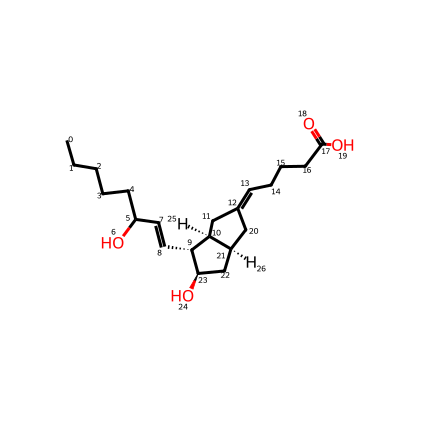 CCCCCC(O)C=C[C@@H]1[C@H]2CC(=CCCCC(=O)O)C[C@H]2C[C@H]1O